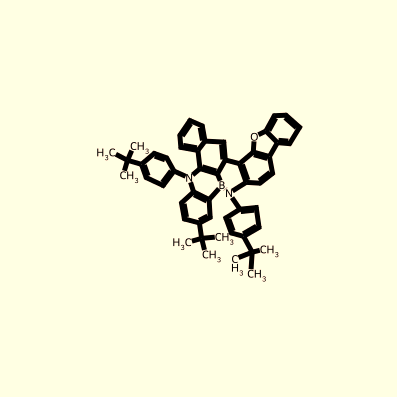 CC(C)(C)c1ccc(N2B3c4cc(C(C)(C)C)ccc4N(c4ccc(C(C)(C)C)cc4)c4c3c(cc3ccccc43)-c3c2ccc2c3oc3ccccc32)cc1